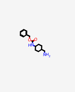 NCC1CCC(NC(=O)OCc2ccccc2)CC1